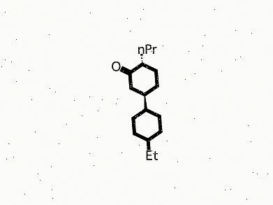 CCC[C@@H]1CC[C@@H](C2CCC(CC)CC2)CC1=O